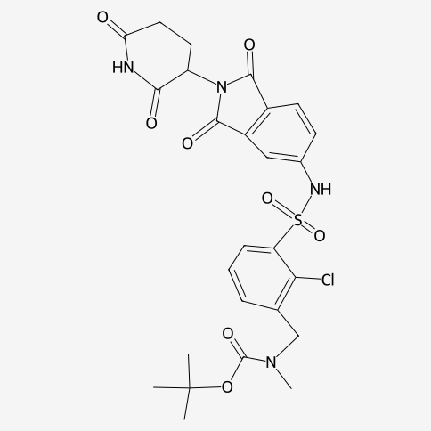 CN(Cc1cccc(S(=O)(=O)Nc2ccc3c(c2)C(=O)N(C2CCC(=O)NC2=O)C3=O)c1Cl)C(=O)OC(C)(C)C